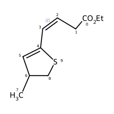 CCOC(=O)C/C=C\C1=CC(C)CS1